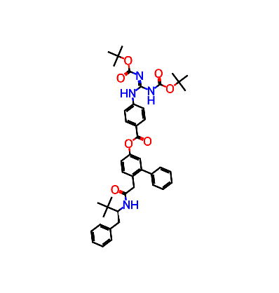 CC(C)(C)OC(=O)/N=C(/NC(=O)OC(C)(C)C)Nc1ccc(C(=O)Oc2ccc(CC(=O)N[C@@H](Cc3ccccc3)C(C)(C)C)c(-c3ccccc3)c2)cc1